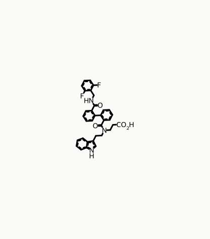 O=C(O)CCN(CCc1c[nH]c2ccccc12)C(=O)c1ccccc1-c1ccccc1C(=O)NCc1c(F)cccc1F